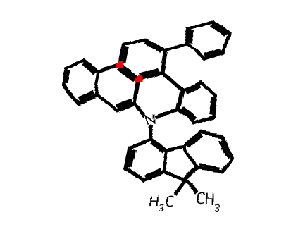 CC1(C)c2ccccc2-c2c(N(c3ccc4ccccc4c3)c3ccccc3-c3ccccc3-c3ccccc3)cccc21